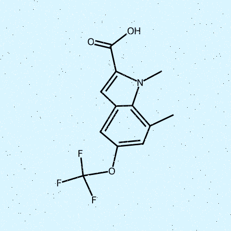 Cc1cc(OC(F)(F)F)cc2cc(C(=O)O)n(C)c12